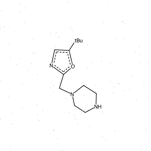 CC(C)(C)c1cnc(CN2CCNCC2)o1